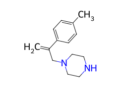 C=C(CN1CCNCC1)c1ccc(C)cc1